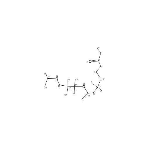 CCC(=O)CCOC(C)(C)CC(C)OC(C)(C)C(C)(C)COC(C)C